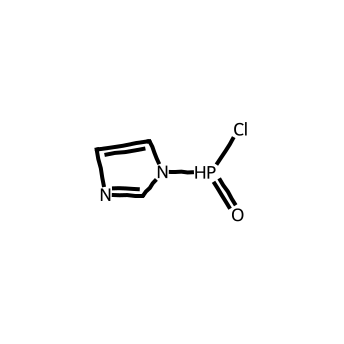 O=[PH](Cl)n1ccnc1